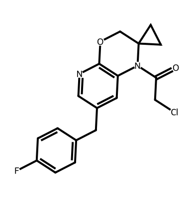 O=C(CCl)N1c2cc(Cc3ccc(F)cc3)cnc2OCC12CC2